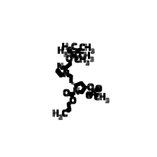 C=CCOC(=O)N1C[C@H](OS(C)(=O)=O)C[C@H]1CCn1ccnc1CO[Si](C)(C)C(C)(C)C